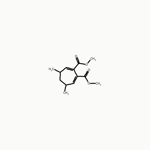 COC(=O)C1=CC(C)CC(C)C=C1C(=O)OC